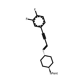 CCCCC[C@H]1CC[C@H](/C=C/C#Cc2ccc(F)c(F)c2)CC1